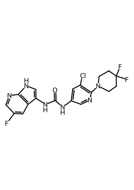 O=C(Nc1cnc(N2CCC(F)(F)CC2)c(Cl)c1)Nc1c[nH]c2ncc(F)cc12